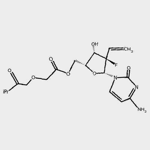 C=C[C@@]1(F)[C@@H](O)[C@@H](COC(=O)COCC(=O)C(C)C)O[C@H]1n1ccc(N)nc1=O